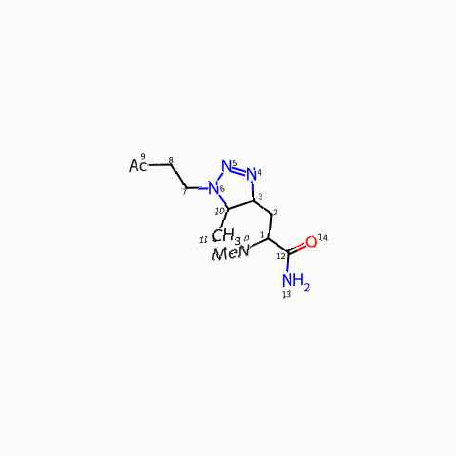 CNC(CC1N=NN(CCC(C)=O)C1C)C(N)=O